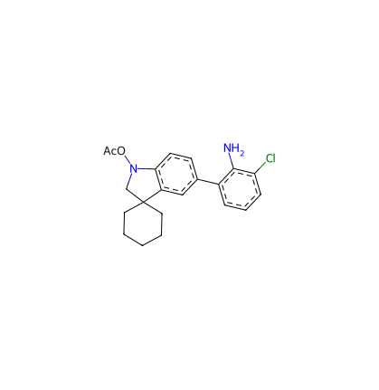 CC(=O)ON1CC2(CCCCC2)c2cc(-c3cccc(Cl)c3N)ccc21